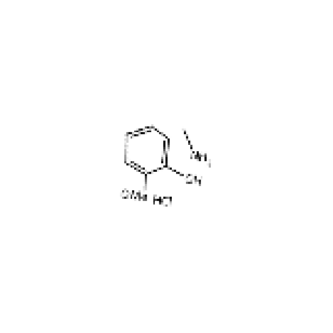 CN.COc1ccccc1O.Cl